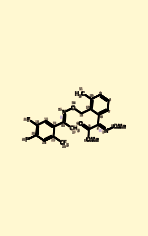 CO/N=C(/C(=O)OC)c1cccc(C)c1CO/N=C(\C)c1cc(F)c(F)cc1C(F)(F)F